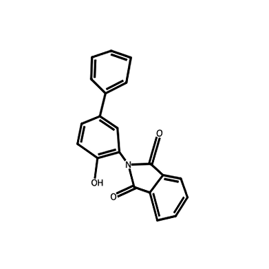 O=C1c2ccccc2C(=O)N1c1cc(-c2ccccc2)ccc1O